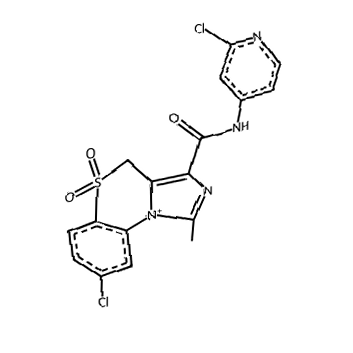 CC1=NC(C(=O)Nc2ccnc(Cl)c2)=C2CS(=O)(=O)c3ccc(Cl)cc3[N+]12